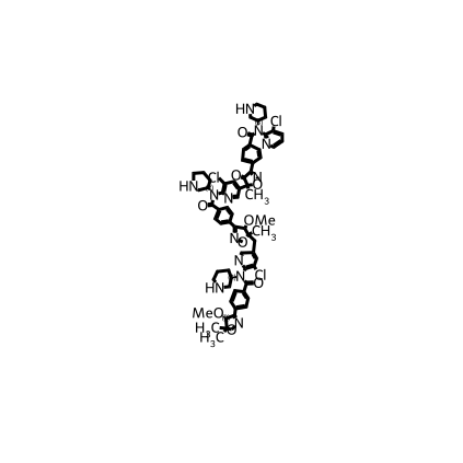 COC1C(c2ccc(C(=O)N(c3ncc(C4(C)ON=C(c5ccc(C(=O)N(c6ncccc6Cl)[C@@H]6CCCNC6)cc5)C4=O)cc3Cl)[C@@H]3CCCNC3)cc2)=NOC1(C)Cc1cnc(N(C(=O)c2ccc(C3=NOC(C)(C)[C@@H]3OC)cc2)[C@@H]2CCCNC2)c(Cl)c1